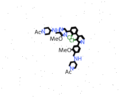 COc1cc(-c2nccc(-c3cccc(-c4cnc(CNC5CCN(C(C)=O)CC5)c(OC)n4)c3Cl)c2Cl)ccc1CNC1CCN(C(C)=O)CC1